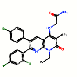 Cc1c(NCC(N)=O)c2cc(-c3ccc(Cl)cc3)c(-c3ccc(Cl)cc3Cl)nc2n(CC(C)C)c1=O